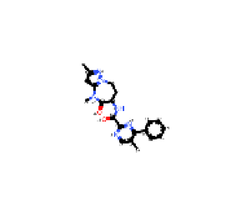 Cc1cc2n(n1)CCC(NC(=O)c1ncc(C)c(-c3ccccc3)n1)C(=O)N2C